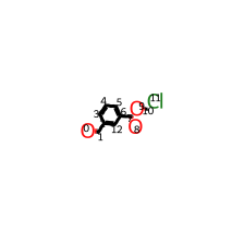 O=Cc1cccc(C(=O)OCCl)c1